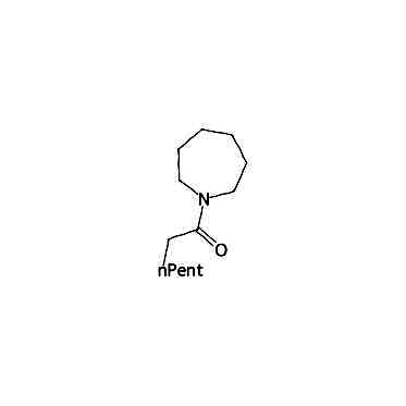 CCCCCCC(=O)N1CCCCCC1